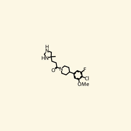 COc1cc(C2CCN(C(=O)CCC3(C)CNCN3)CC2)cc(F)c1Cl